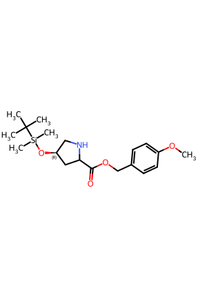 COc1ccc(COC(=O)C2C[C@@H](O[Si](C)(C)C(C)(C)C)CN2)cc1